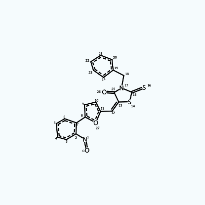 O=Nc1ccccc1-c1ccc(/C=C2/SC(=S)N(Cc3ccccc3)C2=O)o1